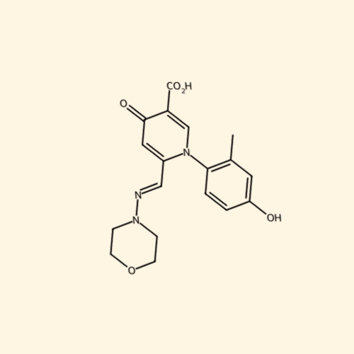 Cc1cc(O)ccc1-n1cc(C(=O)O)c(=O)cc1/C=N/N1CCOCC1